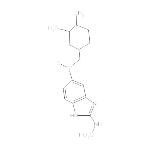 CC1CCC(C[S+]([O-])c2ccc3[nH]c(NC(=O)O)nc3c2)CC1C